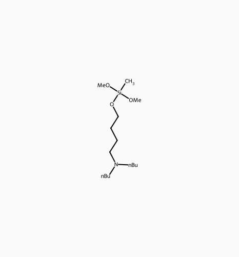 CCCCN(CCCC)CCCCO[Si](C)(OC)OC